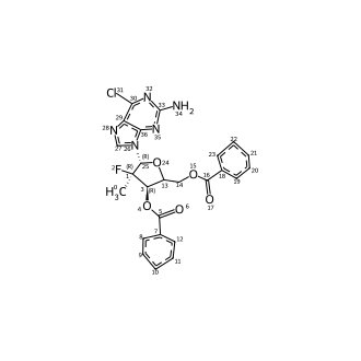 C[C@@]1(F)[C@H](OC(=O)c2ccccc2)C(COC(=O)c2ccccc2)O[C@H]1n1cnc2c(Cl)nc(N)nc21